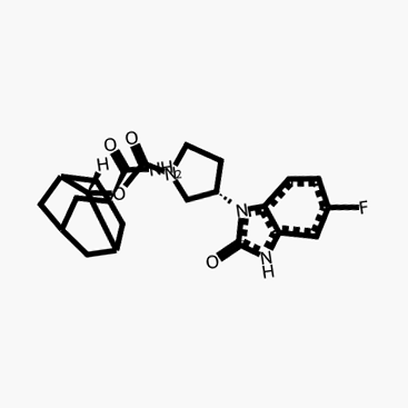 NC(=O)[C@]12CC3CC(C1)[C@@H](OC(=O)N1CC[C@H](n4c(=O)[nH]c5cc(F)ccc54)C1)C(C3)C2